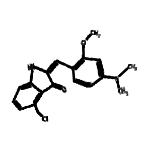 COc1cc(N(C)C)ccc1C=C1Nc2cccc(Cl)c2C1=O